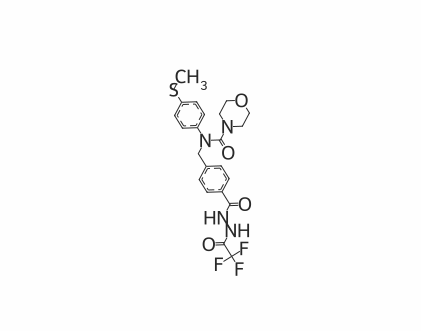 CSc1ccc(N(Cc2ccc(C(=O)NNC(=O)C(F)(F)F)cc2)C(=O)N2CCOCC2)cc1